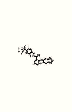 CC(C)(O)c1ccc(CNC(=O)c2cccnc2Oc2ccc3nsnc3c2)cc1